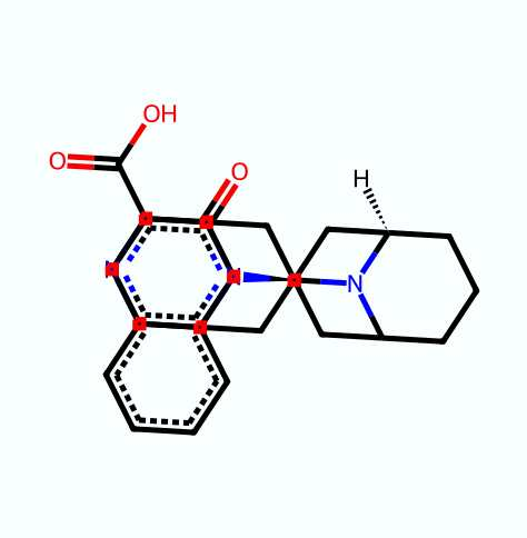 O=C(O)c1nc2ccccc2n([C@@H]2CC3CCC[C@H](C2)N3C2CC3CCCC(C3)C2)c1=O